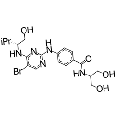 CC(C)[C@H](CO)Nc1nc(Nc2ccc(C(=O)NC(CO)CO)cc2)ncc1Br